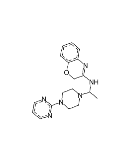 CC(NC1=Nc2ccccc2OC1)N1CCN(c2ncccn2)CC1